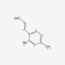 Cc1ccc(C=CC=O)cc1.[Na]